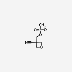 CS(=O)(=O)OCC1(C#N)COC1